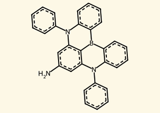 Nc1cc2c3c(c1)N(c1ccccc1)c1ccccc1B3c1ccccc1N2c1ccccc1